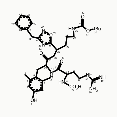 Cc1cc(O)cc(C)c1CC(NC(=O)C(CCNC(=N)N)NC(=O)O)C(=O)CC(CCCNC(=O)OC(C)(C)C)c1nc(Cc2ccccc2)no1